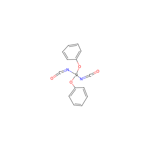 O=C=N[Si](N=C=O)(Oc1ccccc1)Oc1ccccc1